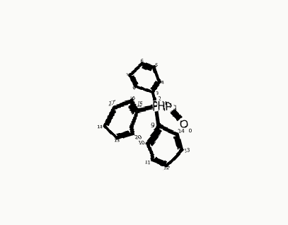 O=P[PH](c1ccccc1)(c1ccccc1)c1ccccc1